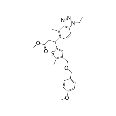 CCn1nnc2c(C)c(C(CC(=O)OC)c3cc(COCc4ccc(OC)cc4)c(C)s3)ccc21